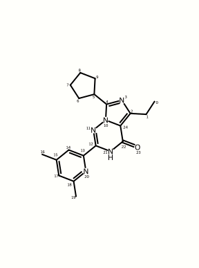 CCc1nc(C2CCCC2)n2nc(-c3cc(C)cc(C)n3)[nH]c(=O)c12